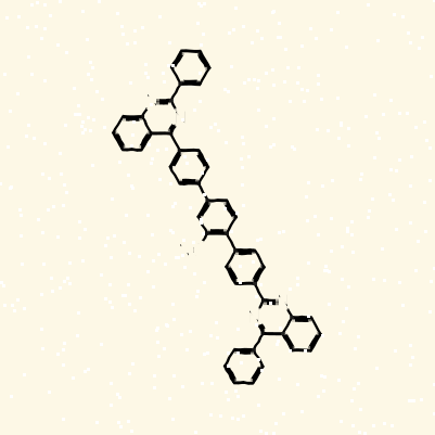 N#Cc1cc(-c2ccc(-c3nc(-c4ccccc4)nc4ccccc34)cc2)ccc1-c1ccc(-c2nc(-c3ccccc3)c3ccccc3n2)cc1